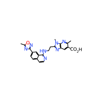 Cc1nc(-c2ccc3ccnc(NCCc4nc5cc(C(=O)O)c(C)nc5n4C)c3c2)no1